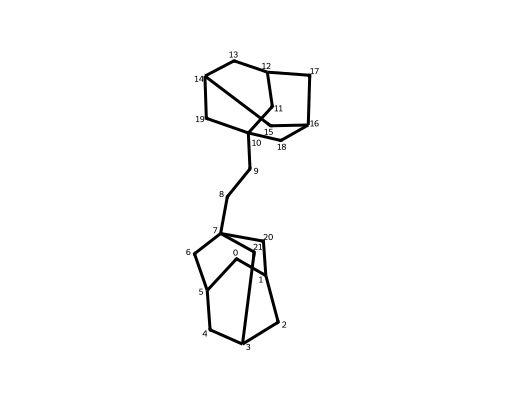 C1C2CC3CC1CC(CCC14CC5CC(CC(C5)C1)C4)(C2)C3